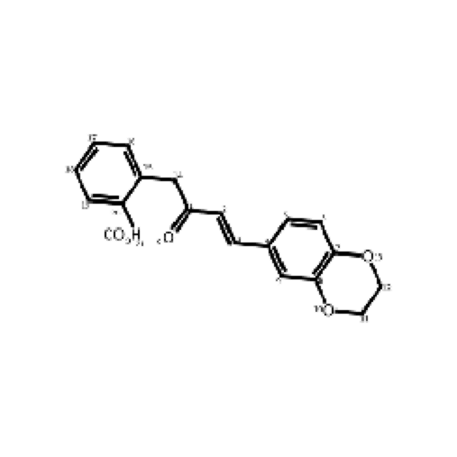 O=C(/C=C/c1ccc2c(c1)OCCO2)Cc1ccccc1C(=O)O